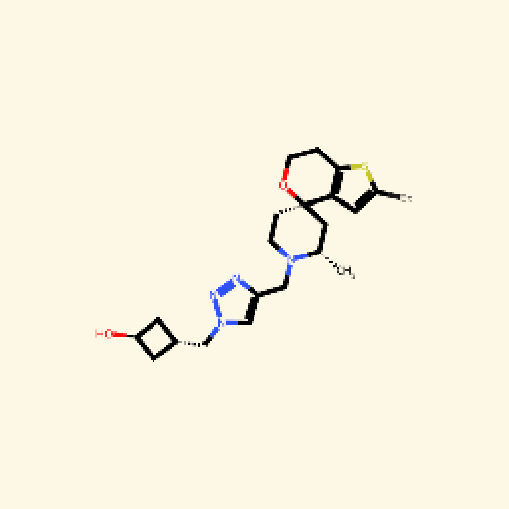 CCc1cc2c(s1)CCO[C@@]21CCN(Cc2cn(C[C@H]3C[C@H](O)C3)nn2)[C@@H](C)C1